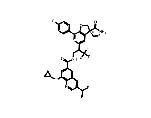 NC(=O)[C@@]1(CF)COc2c1cc(C(CNC(=O)c1cc(OC3CC3)c3ncc(C(F)F)cc3c1)C(F)(F)F)nc2-c1ccc(F)cc1